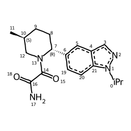 CC(C)n1ncc2cc([C@H]3CC[C@H](C)CN3C(=O)C(N)=O)ccc21